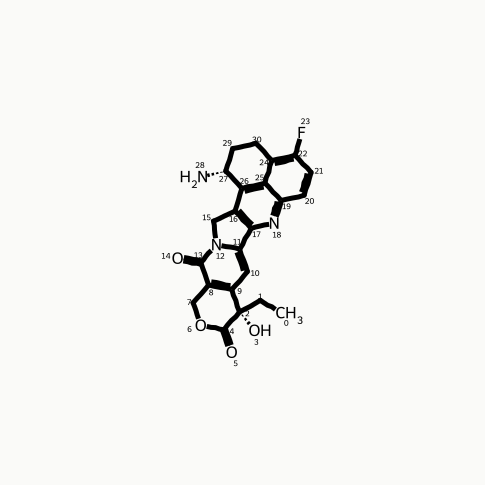 CC[C@@]1(O)C(=O)OCc2c1cc1n(c2=O)Cc2c-1nc1ccc(F)c3c1c2[C@H](N)CC3